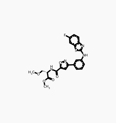 COC[C@H](NC(=O)c1cc(-c2cccc(Nc3nc4ccc(F)cc4s3)c2)no1)C(=O)OC